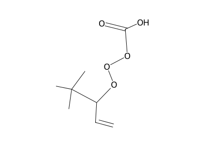 C=CC(OOOC(=O)O)C(C)(C)C